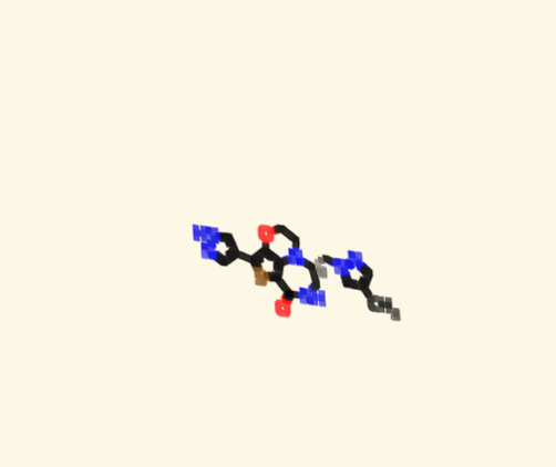 Cc1cnn(C[C@@H]2CNC(=O)c3sc(-c4cn[nH]c4)c4c3N2CCO4)c1